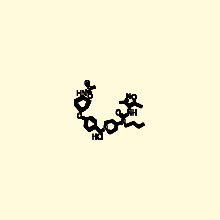 CCCCN(C(=O)Nc1c(C)noc1C)C1CCN(Cc2ccc(Oc3ccc(NS(C)(=O)=O)cc3)cc2)CC1.Cl